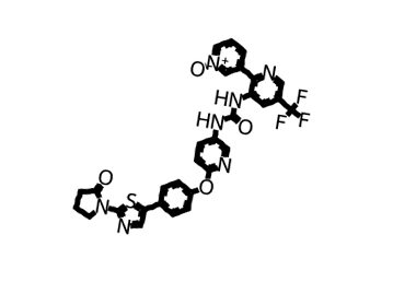 O=C(Nc1ccc(Oc2ccc(-c3cnc(N4CCCC4=O)s3)cc2)nc1)Nc1cc(C(F)(F)F)cnc1-c1ccc[n+]([O-])c1